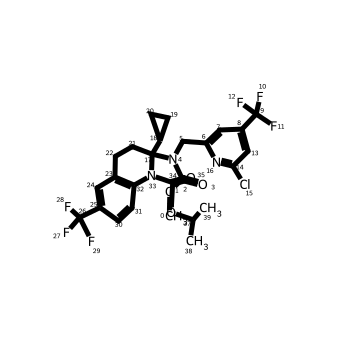 COC(=O)N(Cc1cc(C(F)(F)F)cc(Cl)n1)C1(C2CC2)CCc2cc(C(F)(F)F)ccc2N1C(=O)OC(C)C